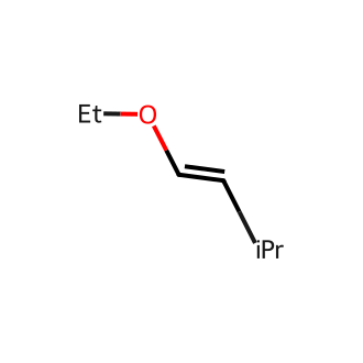 [CH2]COC=CC(C)C